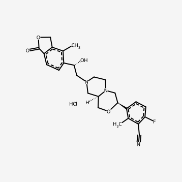 Cc1c([C@@H]2CN3CCN(C[C@@H](O)c4ccc5c(c4C)COC5=O)C[C@@H]3CO2)ccc(F)c1C#N.Cl